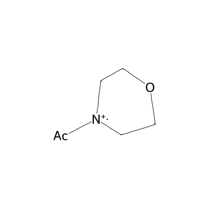 CC(=O)[N+]1CCOCC1